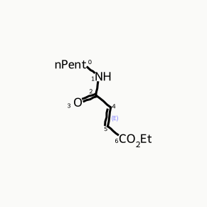 CCCCCNC(=O)/C=C/C(=O)OCC